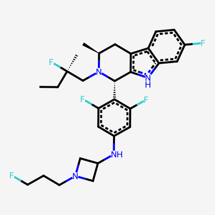 CC[C@@](C)(F)CN1[C@@H](c2c(F)cc(NC3CN(CCCF)C3)cc2F)c2[nH]c3cc(F)ccc3c2C[C@@H]1C